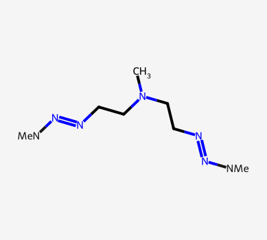 CNN=NCCN(C)CCN=NNC